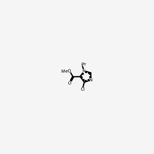 COC(=O)c1c(Cl)ncn1C(C)C